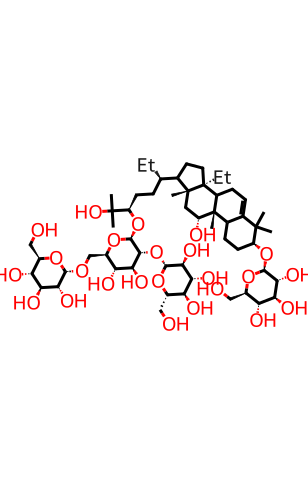 CC[C@H](CC[C@@H](O[C@@H]1O[C@H](CO[C@H]2O[C@H](CO)[C@@H](O)[C@H](O)[C@H]2O)[C@@H](O)[C@H](O)[C@H]1O[C@H]1O[C@@H](CO)[C@H](O)[C@@H](O)[C@@H]1O)C(C)(C)O)C1CC[C@@]2(CC)C3CC=C4C(CC[C@H](O[C@@H]5O[C@H](CO)[C@@H](O)[C@H](O)[C@H]5O)C4(C)C)[C@]3(C)[C@H](O)C[C@]12C